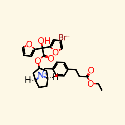 CCOC(=O)CCc1ccc(C[N+]2(C)[C@@H]3CC[C@H]2CC(OC(=O)C(O)(c2ccco2)c2ccco2)C3)cc1.[Br-]